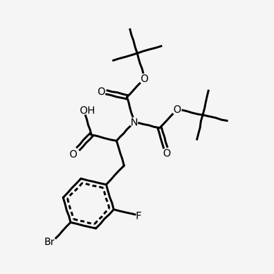 CC(C)(C)OC(=O)N(C(=O)OC(C)(C)C)C(Cc1ccc(Br)cc1F)C(=O)O